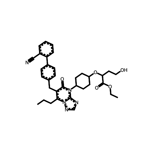 CCCc1c(Cc2ccc(-c3ccccc3C#N)cc2)c(=O)n(C2CCC(OC(CCO)C(=O)OCC)CC2)c2ncnn12